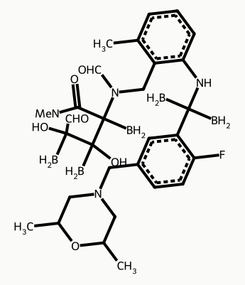 BC(B)(Nc1cccc(C)c1CN(C=O)C(B)(C(=O)NC)C(B)(O)C(B)(O)C=O)c1cc(CN2CC(C)OC(C)C2)ccc1F